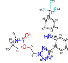 CN(C(=O)OCCn1nnc(-c2ccccc2Nc2ccc(C(F)(F)F)cc2)n1)C(C)(C)C